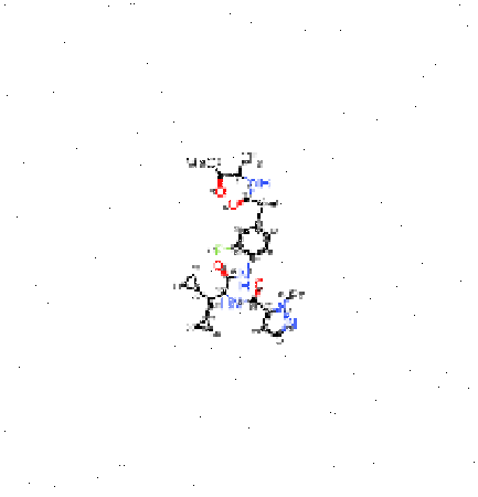 COC(=O)C(NC(=O)[C@@H](C)c1ccc(NC(=O)[C@@H](NC(=O)c2ccnn2C(C)C)C(=C2CC2)C2CC2)c(F)c1)C(F)(F)F